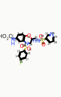 O=C(O)Nc1ccc2c(c1)N(S(=O)(=O)c1ccc(F)cc1)CC(CNS(=O)(=O)c1cccnc1)O2